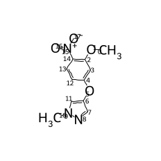 COc1cc(Oc2cnn(C)c2)ccc1[N+](=O)[O-]